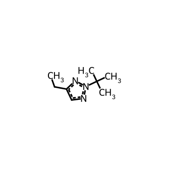 CCc1cnn(C(C)(C)C)n1